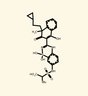 CC1(CCC2CC2)C(=O)C(C2=NS(O)(O)c3cc(NS(=O)(=O)C(C(=O)O)C(C)(C)C)ccc3N2)=C(O)c2ccccc21